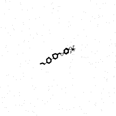 CCC[C@H]1CC[C@H](C2CCC(COc3ccc(OC(F)(F)F)cc3)CC2)CC1